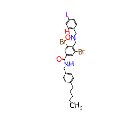 CCCCCc1ccc(CNC(=O)c2cc(Br)c(CN(O)Cc3ccc(I)cc3)c(Br)c2)cc1